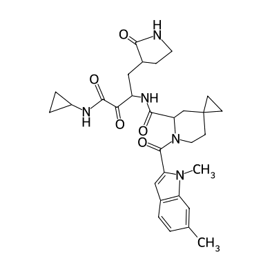 Cc1ccc2cc(C(=O)N3CCC4(CC4)CC3C(=O)NC(CC3CCNC3=O)C(=O)C(=O)NC3CC3)n(C)c2c1